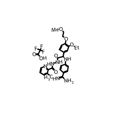 CCOc1cc(C(Nc2ccc(C(=N)N)cc2)C(=O)NNC(=O)c2ncccc2C)ccc1OCCOC.O=C(O)C(F)(F)F